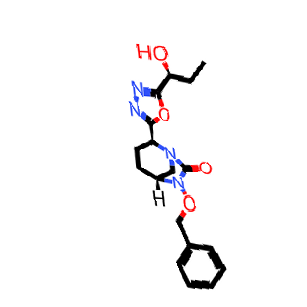 CC[C@H](O)c1nnc([C@@H]2CC[C@@H]3CN2C(=O)N3OCc2ccccc2)o1